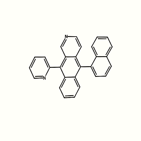 c1ccc(-c2c3ccccc3c(-c3cccc4ccccc34)c3ccncc23)nc1